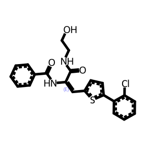 O=C(NCCO)/C(=C\c1ccc(-c2ccccc2Cl)s1)NC(=O)c1ccccc1